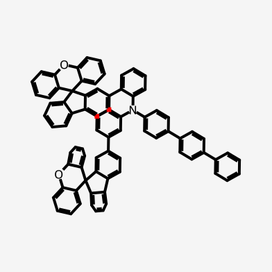 c1ccc(-c2ccc(-c3ccc(N(c4cccc(-c5ccc6c(c5)C5(c7ccccc7Oc7ccccc75)c5ccccc5-6)c4)c4ccccc4-c4ccc5c(c4)C4(c6ccccc6Oc6ccccc64)c4ccccc4-5)cc3)cc2)cc1